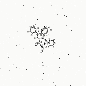 COCC1(c2ccccc2)CCC(C[C@@H](c2ccccc2)c2ccc(C)nn2)C(=O)O1